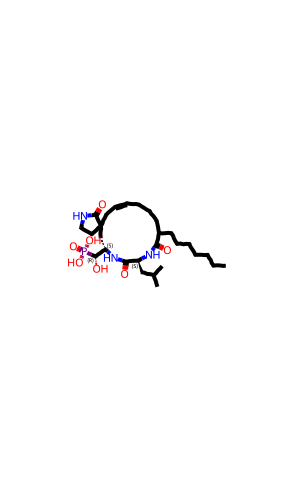 CCCCCCCC1CCCC=CCC2(CCNC2=O)C[C@@H]([C@H](O)P(=O)(O)O)NC(=O)[C@H](CC(C)C)NC1=O